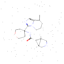 CC1CCCn2c1cnc2C1(NC(=O)[C@H]2[C@@H]3CNC[C@@H]32)CCOCC1